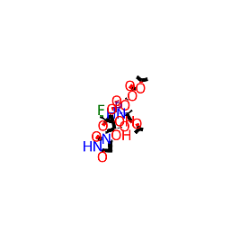 CC(C)OC(=O)OCOP(=O)(N[C@@H](C)C(=O)OC(C)C)OC1[C@]2(O)[C@@](C)(O)[C@H](n3ccc(=O)[nH]c3=O)O[C@]12CF